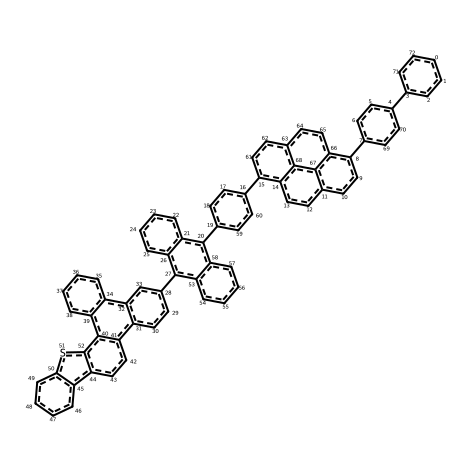 c1ccc(-c2ccc(-c3ccc4ccc5c(-c6ccc(-c7c8ccccc8c(-c8ccc9c(c8)c8ccccc8c8c9ccc9c%10ccccc%10sc98)c8ccccc78)cc6)ccc6ccc3c4c65)cc2)cc1